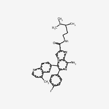 Cc1ccnc2ccc(-c3c(-c4ccc(F)cc4)nc(N)c4nc(C(=O)NCCC(C)N(C)C)cn34)cc12